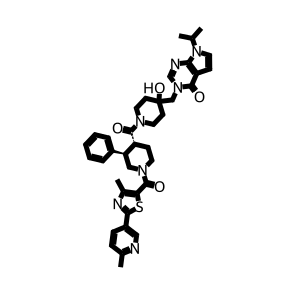 Cc1ccc(-c2nc(C)c(C(=O)N3CC[C@@H](C(=O)N4CCC(O)(Cn5cnc6c(ccn6C(C)C)c5=O)CC4)[C@H](c4ccccc4)C3)s2)cn1